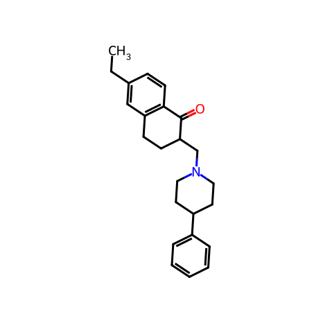 CCc1ccc2c(c1)CCC(CN1CCC(c3ccccc3)CC1)C2=O